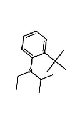 CCN(c1ccccc1C(C)(C)C)C(C)C